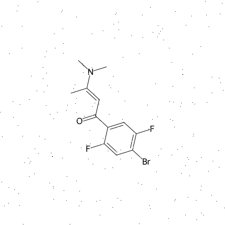 C/C(=C\C(=O)c1cc(F)c(Br)cc1F)N(C)C